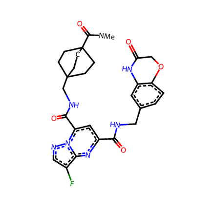 CNC(=O)C12CCC(CNC(=O)c3cc(C(=O)NCc4ccc5c(c4)NC(=O)CO5)nc4c(F)cnn34)(CC1)CC2